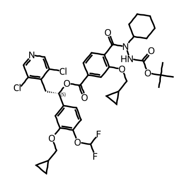 CC(C)(C)OC(=O)NN(C(=O)c1ccc(C(=O)O[C@@H](Cc2c(Cl)cncc2Cl)c2ccc(OC(F)F)c(OCC3CC3)c2)cc1OCC1CC1)C1CCCCC1